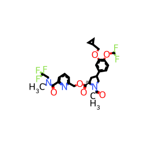 CC(=O)N1CC(c2ccc(OC(F)F)c(OCC3CC3)c2)C[C@@H]1C(=O)OCc1cccc(C(=O)N(C)CC(F)(F)F)n1